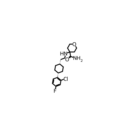 NC(=O)C1(NCC[C@H]2CC[C@@H](c3ccc(F)cc3Cl)CC2)CCOCC1